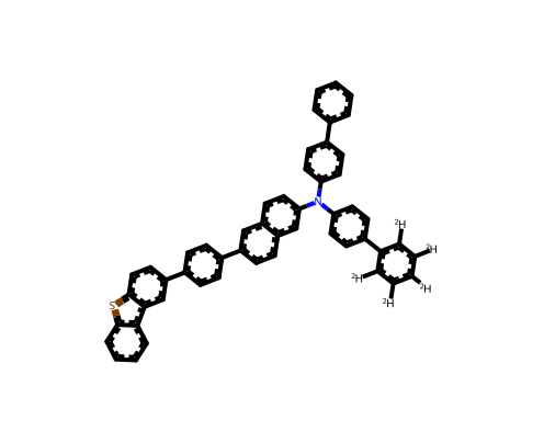 [2H]c1c([2H])c([2H])c(-c2ccc(N(c3ccc(-c4ccccc4)cc3)c3ccc4cc(-c5ccc(-c6ccc7sc8ccccc8c7c6)cc5)ccc4c3)cc2)c([2H])c1[2H]